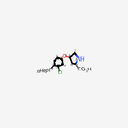 CCCCCCCc1ccc(O[C@H]2CN[C@@H](C(=O)O)C2)cc1Cl